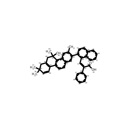 Cc1cc2c3c(ccc2cc1-c1ccc2ccccc2c1C=C(C(=O)O)c1ccccc1)C1=C(CC(C)(C)C=C1)CC3(C)C